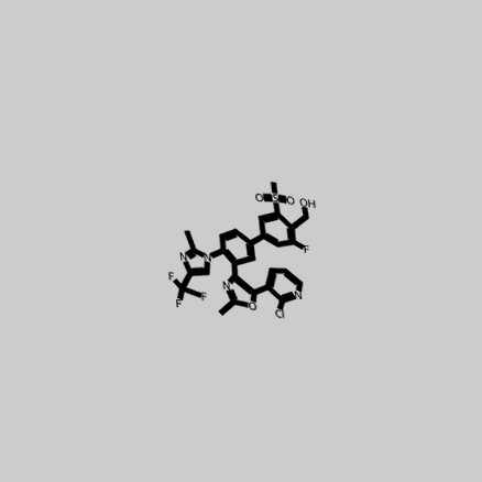 Cc1nc(-c2cc(-c3cc(F)c(CO)c(S(C)(=O)=O)c3)ccc2-n2cc(C(F)(F)F)nc2C)c(-c2cccnc2Cl)o1